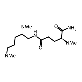 CNCCC[C@@H](CNC(=O)CC[C@H](NC)C(N)=O)NC